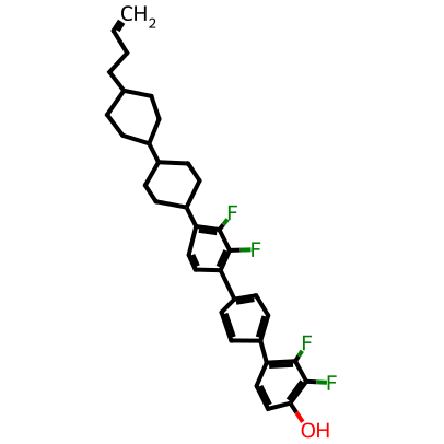 C=CCCC1CCC(C2CCC(c3ccc(-c4ccc(-c5ccc(O)c(F)c5F)cc4)c(F)c3F)CC2)CC1